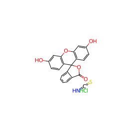 Cl.N=C=S.O=C1OC2(c3ccc(O)cc3Oc3cc(O)ccc32)c2ccccc21